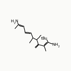 C=C(/C(C)=C(/N)C(C)(C)C)C(C)C(C)C=C/C=C(\C)N